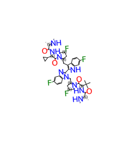 CN[C@@H](C)C(=O)N[C@H](C(=O)N1C[C@@H](F)C[C@H]1Cc1c(-c2nc3cc(F)ccc3n2C[C@@H]2C[C@H](F)CN2C(=O)[C@@H](NC(=O)[C@H](C)NC)C(C)(C)C)[nH]c2cc(F)ccc12)C1CC1